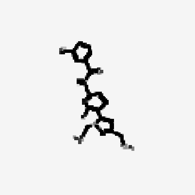 CCc1cc(-c2ccc(NC(=O)c3cccc(Cl)c3)nc2F)n(CC)n1